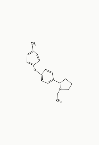 CCN1CCCC1c1ccc(Oc2ccc(C)cc2)cc1